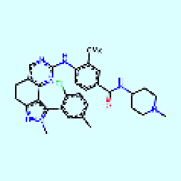 COc1cc(C(=O)NC2CCN(C)CC2)ccc1Nc1ncc2c(n1)-c1c(nn(C)c1-c1cc(C)ccc1Cl)CC2